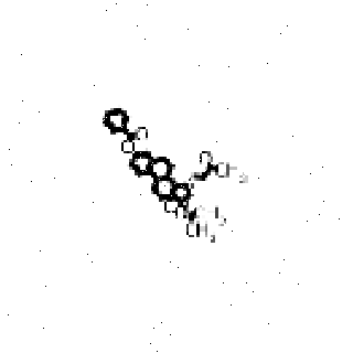 C=C(C)O[C@H]1C[C@@H](CCC(C)=O)C2C3CCc4cc(OC(=O)c5ccccc5)ccc4C3CC[C@@]21C